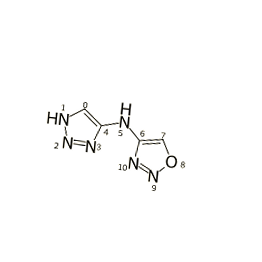 c1[nH]nnc1Nc1conn1